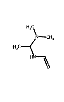 [CH2]C(NC=O)N(C)C